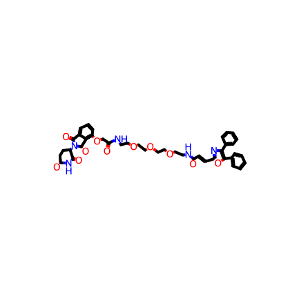 O=C(C=Cc1nc(-c2ccccc2)c(-c2ccccc2)o1)NCCOCCOCCOCCNC(=O)COc1cccc2c1C(=O)N(C1CCC(=O)NC1=O)C2=O